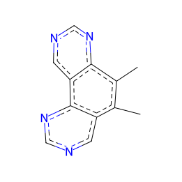 Cc1c(C)c2ncncc2c2ncncc12